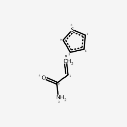 C=CC(N)=O.c1ccsc1